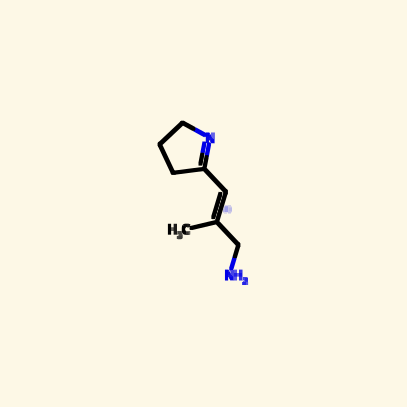 C/C(=C\C1=NCCC1)CN